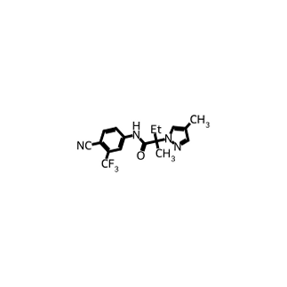 CCC(C)(C(=O)Nc1ccc(C#N)c(C(F)(F)F)c1)n1cc(C)cn1